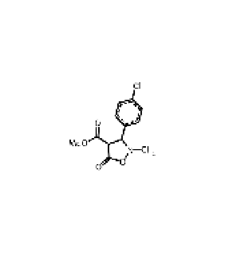 COC(=O)C1C(=O)ON(C)C1c1ccc(Cl)cc1